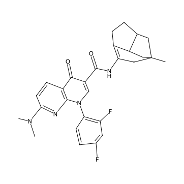 CN(C)c1ccc2c(=O)c(C(=O)NC3=C4CCC5CC(C)(C3)CC45)cn(-c3ccc(F)cc3F)c2n1